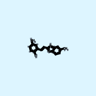 Cc1ccc2sc(/C=C/c3cc(N)ccc3Cl)nc2c1